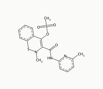 Cc1cccc(NC(=O)C2=C(OS(C)(=O)=O)c3ccccc3SN2C)n1